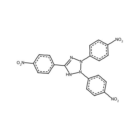 O=[N+]([O-])c1ccc(C2=NN(c3ccc([N+](=O)[O-])cc3)N(c3ccc([N+](=O)[O-])cc3)N2)cc1